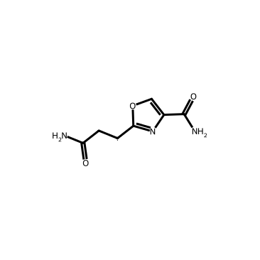 NC(=O)C[CH]c1nc(C(N)=O)co1